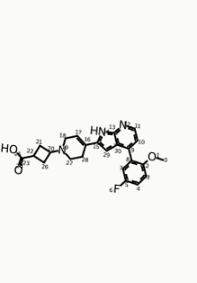 COc1ccc(F)cc1-c1ccnc2[nH]c(C3=CCN(C4CC(C(=O)O)C4)CC3)cc12